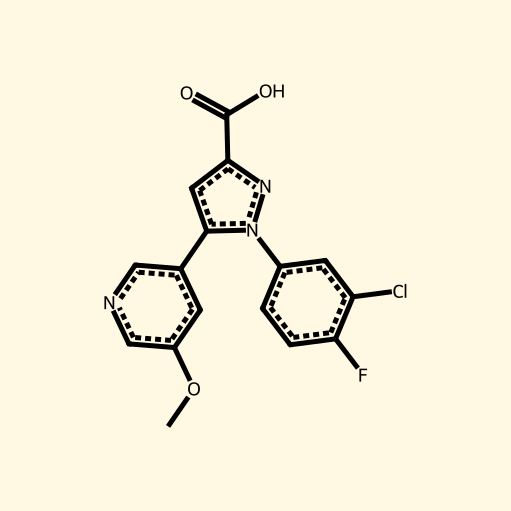 COc1cncc(-c2cc(C(=O)O)nn2-c2ccc(F)c(Cl)c2)c1